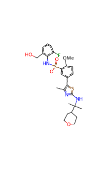 COc1ccc(-c2sc(NC(C)(C)C3CCOCC3)nc2C)cc1S(=O)(=O)Nc1c(F)cccc1CO